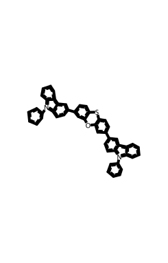 c1ccc(-n2c3ccccc3c3cc(-c4ccc5c(c4)Oc4cc(-c6ccc7c(c6)c6ccccc6n7-c6ccccc6)ccc4S5)ccc32)cc1